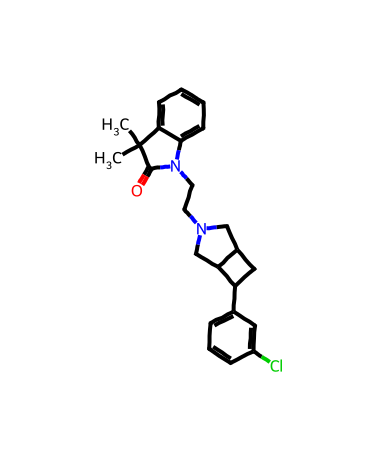 CC1(C)C(=O)N(CCN2CC3CC(c4cccc(Cl)c4)C3C2)c2ccccc21